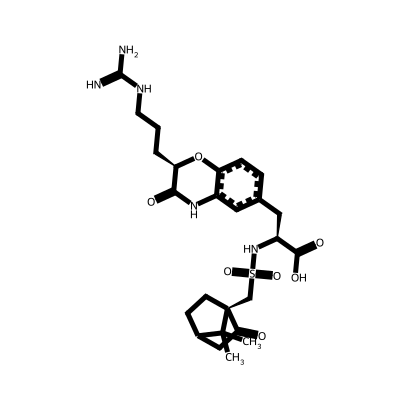 CC1(C)C2CC[C@]1(CS(=O)(=O)N[C@@H](Cc1ccc3c(c1)NC(=O)[C@@H](CCCNC(=N)N)O3)C(=O)O)C(=O)C2